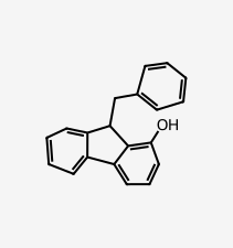 Oc1cccc2c1C(Cc1ccccc1)c1ccccc1-2